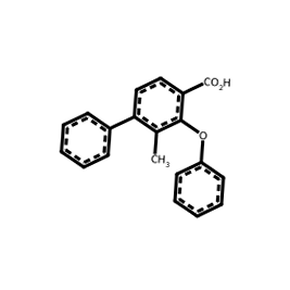 Cc1c(-c2ccccc2)ccc(C(=O)O)c1Oc1ccccc1